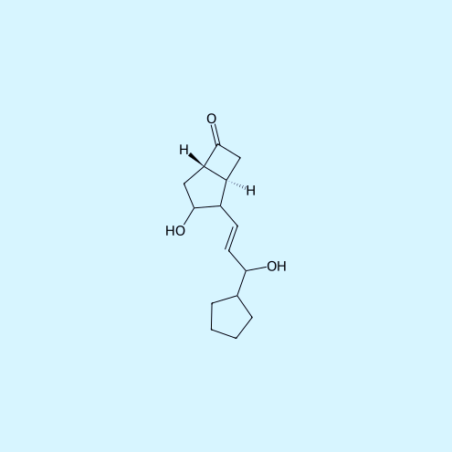 O=C1C[C@H]2C(C=CC(O)C3CCCC3)C(O)C[C@H]12